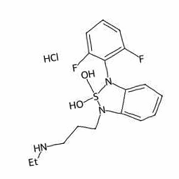 CCNCCCN1c2ccccc2N(c2c(F)cccc2F)S1(O)O.Cl